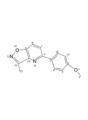 COc1ccc(-c2ccc3onc(C)c3n2)cc1